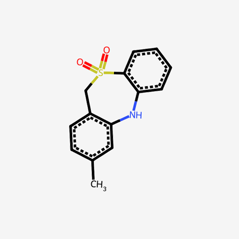 Cc1ccc2c(c1)Nc1ccccc1S(=O)(=O)C2